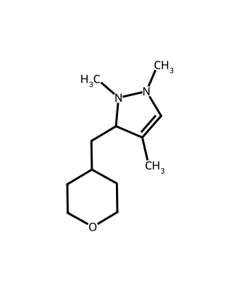 CC1=CN(C)N(C)C1CC1CCOCC1